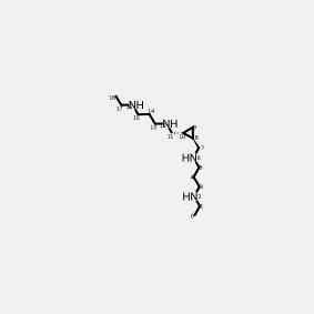 CCNCCCNC[C@@H]1C[C@H]1CNCCCNCC